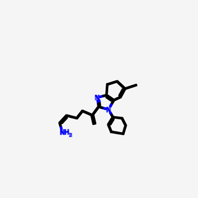 C=C(CC/C=C\N)c1nc2c(n1C1=CCCCC1)C=C(C)CC2